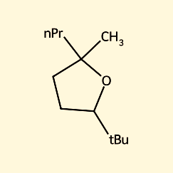 CCCC1(C)CCC(C(C)(C)C)O1